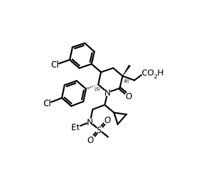 CCN(CC(C1CC1)N1C(=O)[C@@](C)(CC(=O)O)CC(c2cccc(Cl)c2)[C@H]1c1ccc(Cl)cc1)S(C)(=O)=O